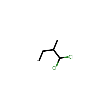 [CH2]CC(C)C(Cl)Cl